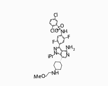 COCCN[C@H]1CC[C@H](c2cnc(N)c3c(-c4cc(F)c(NS(=O)(=O)c5cc(Cl)ccc5Cl)cc4F)nn(C(C)C)c32)CC1